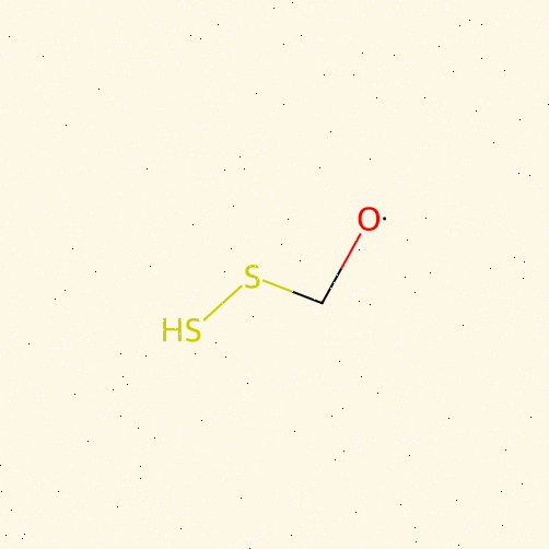 [O]CSS